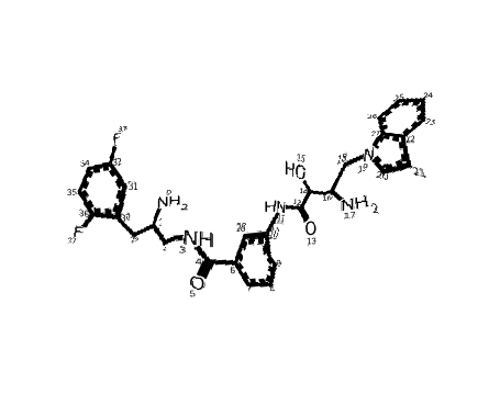 NC(CNC(=O)c1cccc(NC(=O)C(O)C(N)Cn2ccc3ccccc32)c1)Cc1cc(F)ccc1F